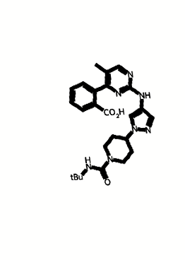 Cc1cnc(Nc2cnn(C3CCN(C(=O)NC(C)(C)C)CC3)c2)nc1-c1ccccc1C(=O)O